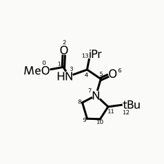 COC(=O)NC(C(=O)N1CCCC1C(C)(C)C)C(C)C